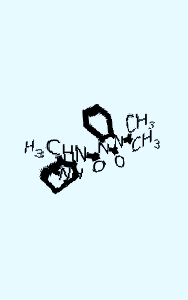 CC1C(NC(=O)n2c(=O)n(C(C)C)c3ccccc32)CC2CCC1N2